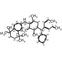 C=C/C=C(\C=C/C)N(c1ccccc1)C1CC(C)=C(Nc2ccc3c(c2)C(C)(C)CCC3(C)C)C(C)C1C